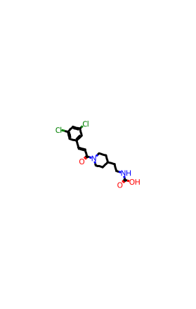 O=C(O)NCCC1CCN(C(=O)C=Cc2cc(Cl)cc(Cl)c2)CC1